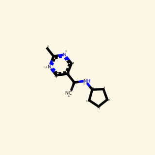 Cc1ncc(C(C#N)NC2CCCC2)cn1